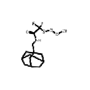 O=C(NCC12CC3CC(CC(C3)C1)C2)C(F)(F)SOOO